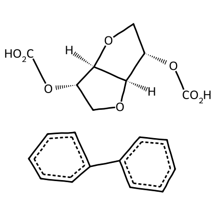 O=C(O)O[C@H]1CO[C@H]2[C@@H]1OC[C@@H]2OC(=O)O.c1ccc(-c2ccccc2)cc1